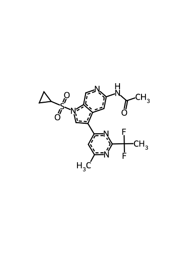 CC(=O)Nc1cc2c(-c3cc(C)nc(C(C)(F)F)n3)cn(S(=O)(=O)C3CC3)c2cn1